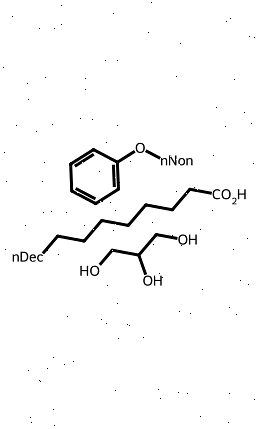 CCCCCCCCCCCCCCCCCC(=O)O.CCCCCCCCCOc1ccccc1.OCC(O)CO